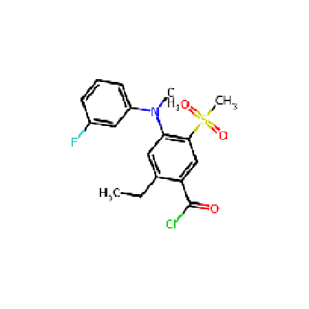 CCc1cc(N(C)c2cccc(F)c2)c(S(C)(=O)=O)cc1C(=O)Cl